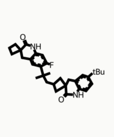 CC(C)(C)c1ccc2c(c1)CC1(CC(CC(C)(C)c3cc4c(cc3F)NC(=O)C3(CCC3)C4)C1)C(=O)N2